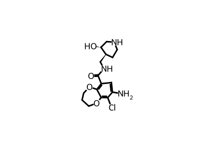 Nc1cc(C(=O)NC[C@@H]2CCNC[C@H]2O)c2c(c1Cl)OCCCO2